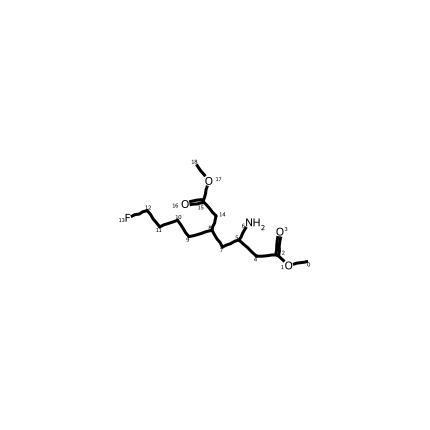 COC(=O)CC(N)CC(CCCCF)CC(=O)OC